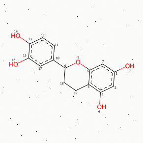 Oc1cc(O)c2c(c1)OC(c1ccc(O)c(O)c1)CC2